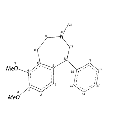 COc1ccc2c(c1OC)CCN(C)CC2c1ccccc1